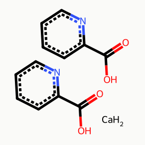 O=C(O)c1ccccn1.O=C(O)c1ccccn1.[CaH2]